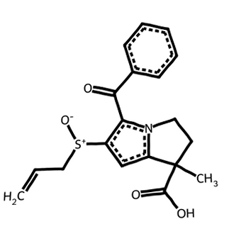 C=CC[S+]([O-])c1cc2n(c1C(=O)c1ccccc1)CCC2(C)C(=O)O